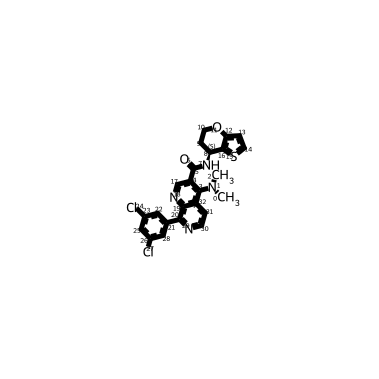 CN(C)c1c(C(=O)N[C@H]2CCOc3ccsc32)cnc2c(-c3cc(Cl)cc(Cl)c3)nccc12